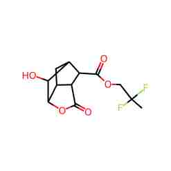 CC(F)(F)COC(=O)C1C2CC3C(OC(=O)C31)C2O